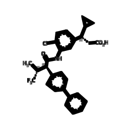 C[C@H]([C@@H](C(=O)Nc1cc([C@@H](CC(=O)O)C2CC2)ccc1Cl)c1ccc(-c2ccccc2)cc1)C(F)(F)F